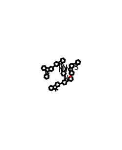 CC1(C)c2ccccc2-c2ccc(-c3ccc4c5ccccc5n(-c5ccc6nc(-n7c8ccccc8c8ccc(-c9ccc%10c(c9)c9ccccc9n%10-c9ccccc9)cc87)nc(-n7c8ccccc8c8c9sc%10ccccc%10c9ccc87)c6c5)c4c3)cc21